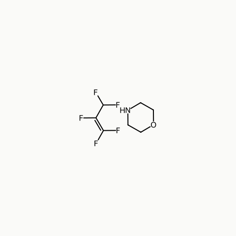 C1COCCN1.FC(F)=C(F)C(F)F